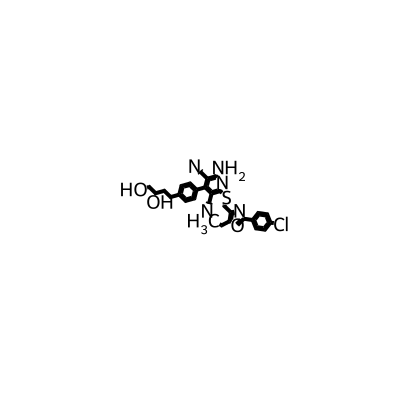 CCc1oc(-c2ccc(Cl)cc2)nc1CSc1nc(N)c(C#N)c(-c2ccc(CC[C@H](O)CO)cc2)c1C#N